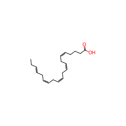 CC/C=C/C/C=C\C/C=C\C/C=C\C/C=C\CCCC(=O)O